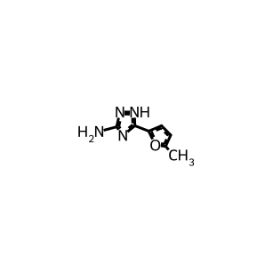 Cc1ccc(-c2nc(N)n[nH]2)o1